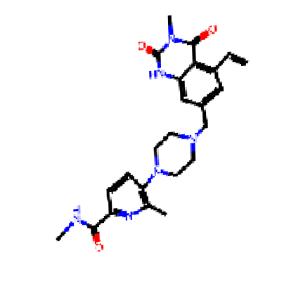 C=Cc1cc(CN2CCN(c3ccc(C(=O)NC)nc3C)CC2)cc2[nH]c(=O)n(C)c(=O)c12